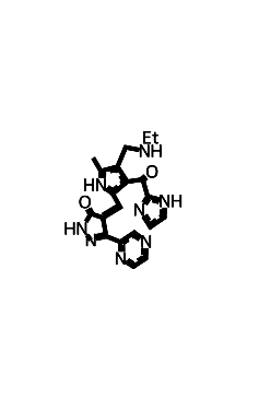 CCNCc1c(C)[nH]c(C=C2C(=O)NN=C2c2cnccn2)c1C(=O)c1ncc[nH]1